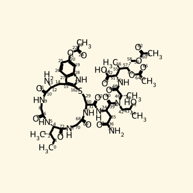 CC[C@H](C)[C@@H]1NC(=O)CNC(=O)[C@H](N)Cc2c([nH]c3cc(OC(C)=O)ccc23)SCC(C(=O)NC(CC(N)=O)C(=O)N(C[C@@H](C)O)[C@@H](C)C(=O)N[C@H](C(=O)O)[C@@H](C)[C@H](COC(C)=O)OC(C)=O)NC(=O)CNC1=O